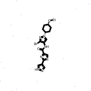 CCO[C@H]1CC[C@H](n2cc(NC(=O)c3csc(-c4cn[nH]c4)n3)c(Br)n2)CC1